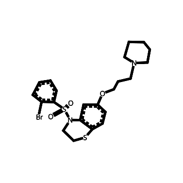 O=S(=O)(c1ccccc1Br)N1CCSc2ccc(OCCCN3CCCCC3)cc21